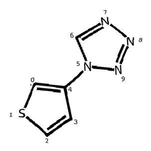 [c]1sccc1-n1[c]nnn1